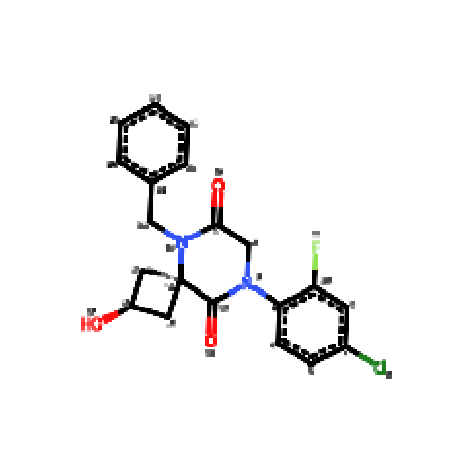 O=C1CN(c2ccc(Cl)cc2F)C(=O)[C@]2(C[C@H](O)C2)N1Cc1ccccc1